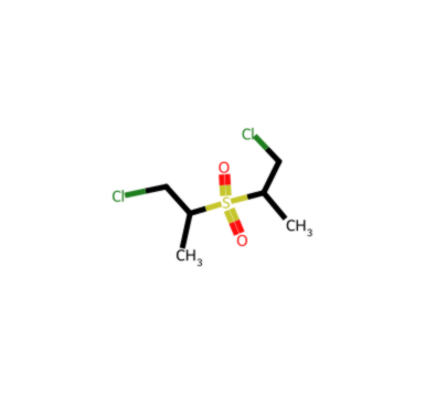 CC(CCl)S(=O)(=O)C(C)CCl